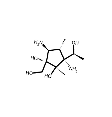 C[C@H](O)[C@]1(N)[C@@H](C)[C@H](N)[C@](O)(CO)[C@]1(C)O